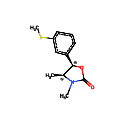 CSc1cccc([C@H]2OC(=O)N(C)[C@H]2C)c1